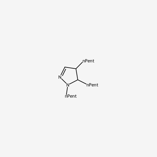 CCCCCC1C=NN(CCCCC)C1CCCCC